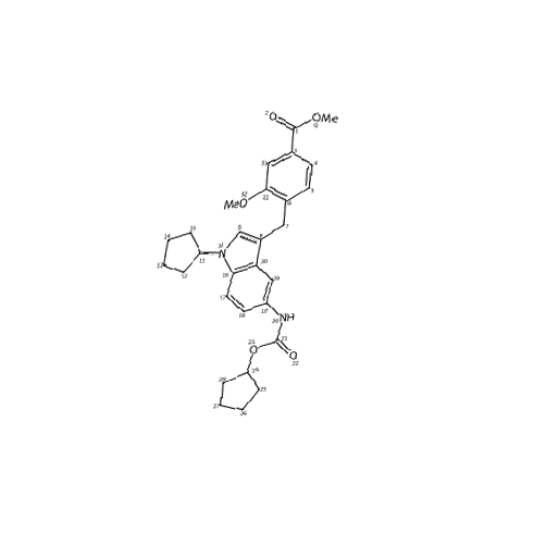 COC(=O)c1ccc(Cc2cn(C3CCCC3)c3ccc(NC(=O)OC4CCCC4)cc23)c(OC)c1